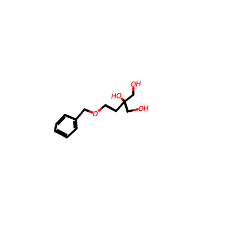 OCC(O)(CO)CCOCc1ccccc1